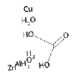 O.O.O=C(O)O.[AlH3].[Cu].[Zn]